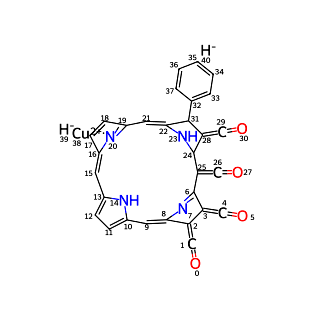 O=C=C1C(=C=O)C2=NC1=Cc1ccc([nH]1)C=C1C=CC(=N1)C=C1NC(C2=C=O)C(=C=O)C1c1ccccc1.[Cu+2].[H-].[H-]